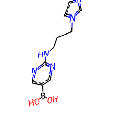 OB(O)c1cnc(NCCCn2ccnc2)nc1